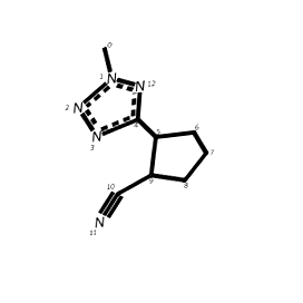 Cn1nnc(C2CCCC2C#N)n1